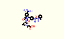 Cc1ccccc1NC(=O)Nc1ccc(CN2C(=O)N([C@@H](CC(C)C)C(=O)N[C@H](C)CC(=O)O)C(=O)[C@]2(C)c2ccc(C(=N)N)cc2)cc1